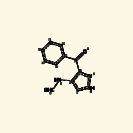 O=CNc1c[nH]nc1C(=O)c1ccccc1